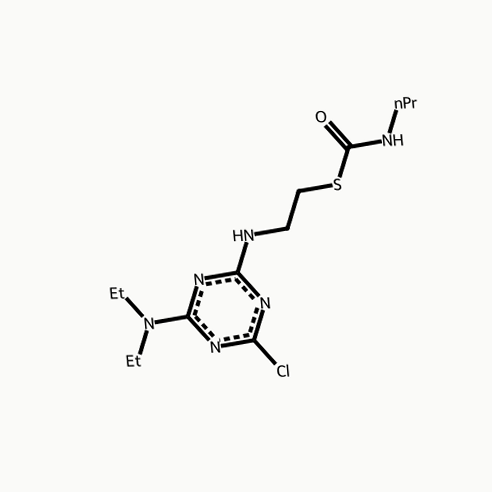 CCCNC(=O)SCCNc1nc(Cl)nc(N(CC)CC)n1